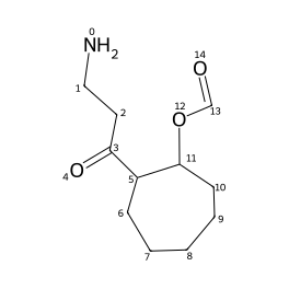 NCCC(=O)C1CCCCCC1OC=O